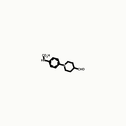 O=CC1CCN(c2ccc(NC(=O)O)cc2)CC1